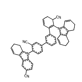 N#Cc1ccc2c(c1)c1c(n2-c2ccc(-c3cccc(C4=C(n5c6c(c7c5C=CCC7)CCC=C6)C(C#N)CC=C4)c3)cc2C#N)CCC=C1